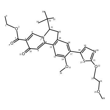 CCOC(=O)c1cn2c(cc1=O)-c1cc(OC)c(-c3cnc(OCCOC)s3)cc1CC2C(C)(C)C